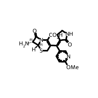 COc1ccc(C(=C2CCNC2=O)C2=C(C(=O)O)N3C(=O)[C@@H](N)[C@H]3SC2)cn1